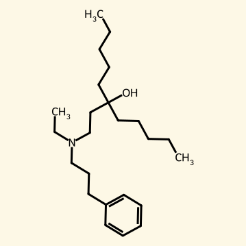 CCCCCC(O)(CCCCC)CCN(CC)CCCc1ccccc1